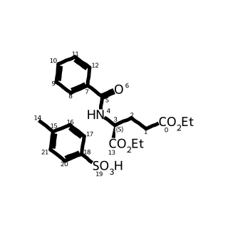 CCOC(=O)CC[C@H](NC(=O)c1ccccc1)C(=O)OCC.Cc1ccc(S(=O)(=O)O)cc1